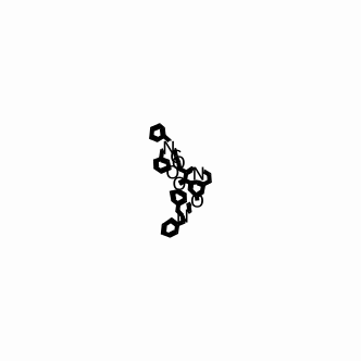 O=C(OCCN(Cc1ccccc1)Cc1ccccc1)c1cn2c3c(cc(OCCN(Cc4ccccc4)Cc4ccccc4)cc3c1=O)CCC2